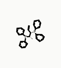 C=C[C@@H]([C@H](C)P(c1ccccc1)c1ccccc1)P(c1ccccc1)c1ccccc1